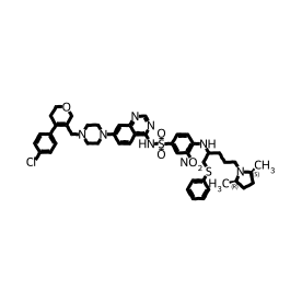 C[C@@H]1CC[C@H](C)N1CCCC(CSc1ccccc1)Nc1ccc(S(=O)(=O)Nc2ncnc3cc(N4CCN(CC5=C(c6ccc(Cl)cc6)CCOC5)CC4)ccc23)cc1[N+](=O)[O-]